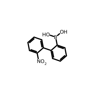 O=[N+]([O-])c1ccccc1-c1ccccc1B(O)O